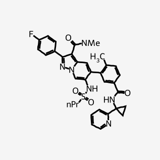 CCCS(=O)(=O)Nc1cn2nc(-c3ccc(F)cc3)c(C(=O)NC)c2cc1-c1cc(C(=O)NC2(c3ccccn3)CC2)ccc1C